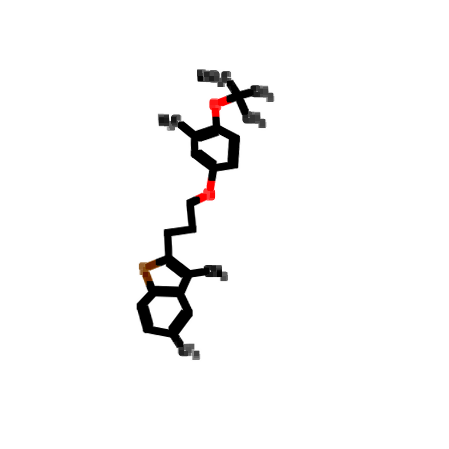 CCOC(=O)C(C)(C)Oc1ccc(OCCCc2sc3ccc(C(F)(F)F)cc3c2C)cc1C